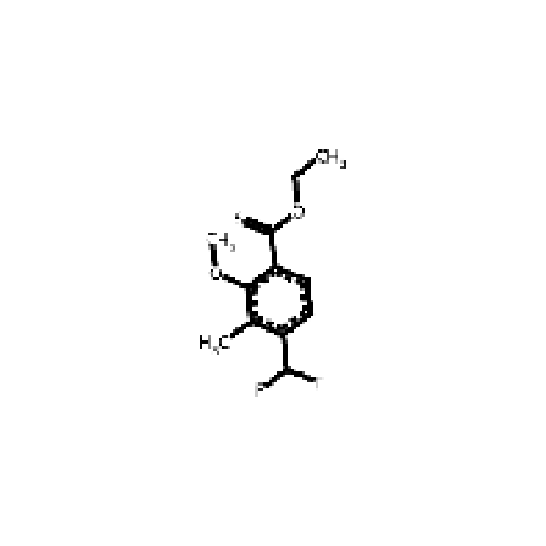 CCOC(=S)c1ccc(C(F)F)c(C)c1OC